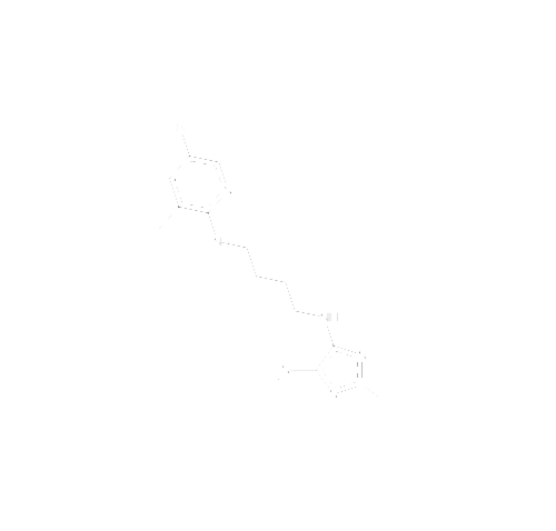 Cc1cc(Br)cnc1NCCCCNc1n[s+]([O-])nc1N